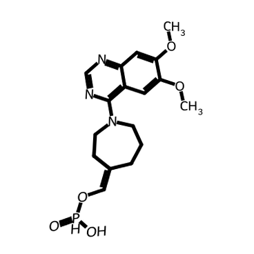 COc1cc2ncnc(N3CCCC(=CO[PH](=O)O)CC3)c2cc1OC